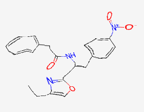 CCc1coc(C(Cc2ccc([N+](=O)[O-])cc2)NC(=O)Cc2ccccc2)n1